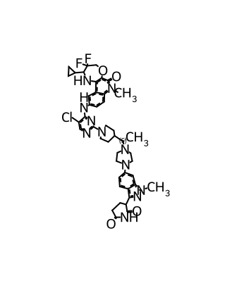 C[C@@H](C1CCN(c2ncc(Cl)c(Nc3ccc4c(c3)c3c(c(=O)n4C)OCC(F)(F)C(C4CC4)N3)n2)CC1)N1CCN(c2ccc3c(C4CCC(=O)NC4=O)nn(C)c3c2)CC1